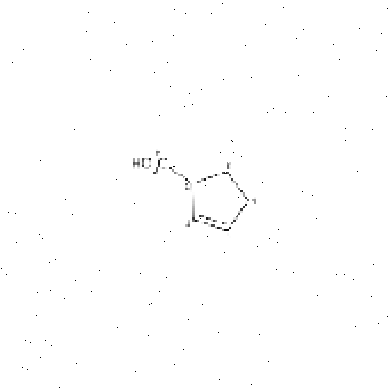 O=C(O)C1C=CCC1